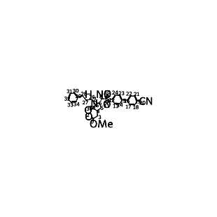 COC(=O)C[C@@H]1C[C@@H](C(N)S(=O)(=O)c2ccc(-c3ccc(C#N)cc3)cc2)N(CCCc2ccccc2)C1=O